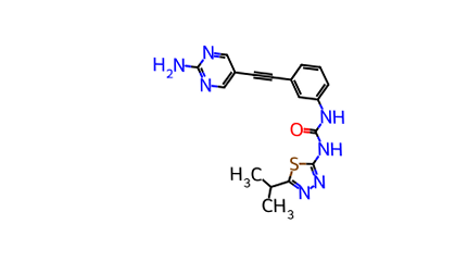 CC(C)c1nnc(NC(=O)Nc2cccc(C#Cc3cnc(N)nc3)c2)s1